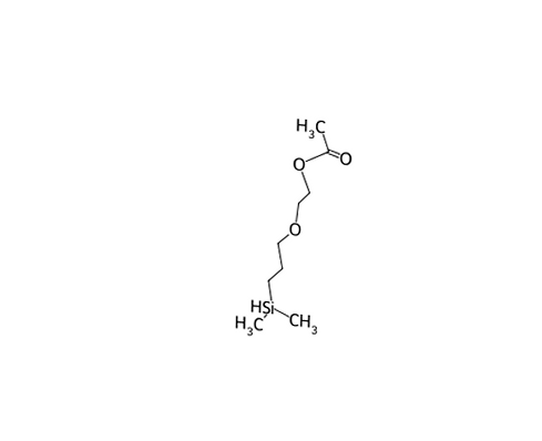 CC(=O)OCCOCCC[SiH](C)C